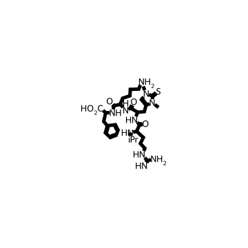 CC(C)NC(CCCNC(=N)N)C(=O)NC(Cc1cn(C)c(=S)n1C)C(=O)NC(CCCCN)C(=O)NC(Cc1ccccc1)C(=O)O